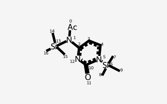 CC(=O)N(c1ccn([Si](C)(C)C)c(=O)n1)[Si](C)(C)C